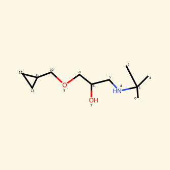 CC(C)(C)NCC(O)COCC1CC1